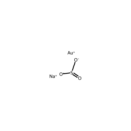 O=S([O-])[O-].[Au+].[Na+]